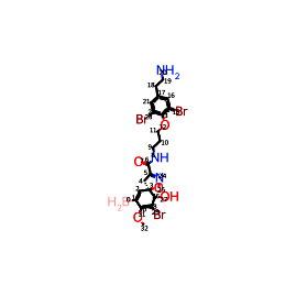 BC1=C[C@]2(CC(C(=O)NCCCOc3c(Br)cc(CCN)cc3Br)=NO2)[C@H](O)C(Br)=C1OC